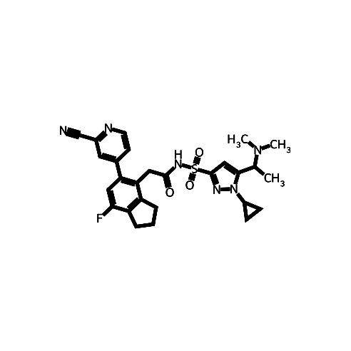 CC(c1cc(S(=O)(=O)NC(=O)Cc2c(-c3ccnc(C#N)c3)cc(F)c3c2CCC3)nn1C1CC1)N(C)C